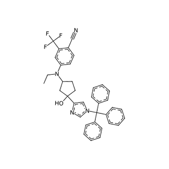 CCN(c1ccc(C#N)c(C(F)(F)F)c1)C1CCC(O)(c2cn(C(c3ccccc3)(c3ccccc3)c3ccccc3)cn2)C1